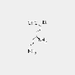 CCC(C=O)CCC(N)CCCN